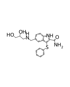 NC(=O)c1[nH]c2ccc(CNCC(O)CO)cc2c1Sc1ccccc1